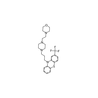 FC(F)(F)c1ccc2c(c1)N(CCCN1CCN(CCN3CCOCC3)CC1)c1ccccc1S2